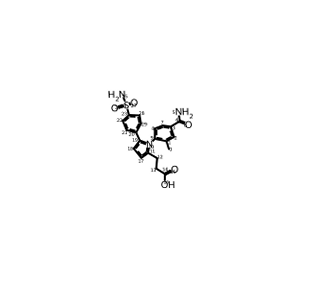 Cc1cc(C(N)=O)ccc1-n1c(CCC(=O)O)ccc1-c1ccc(S(N)(=O)=O)cc1